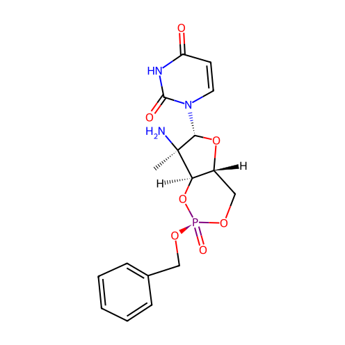 C[C@@]1(N)[C@@H]2O[P@](=O)(OCc3ccccc3)OC[C@H]2O[C@H]1n1ccc(=O)[nH]c1=O